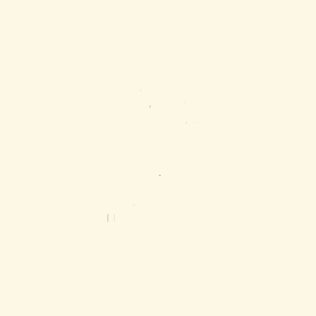 CCC(CC(C)I)c1ccc(O)cc1